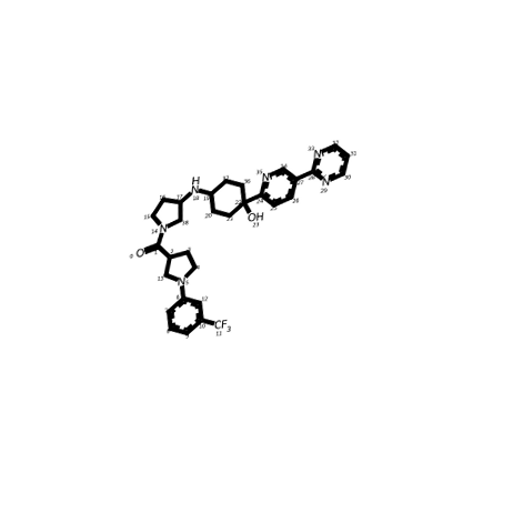 O=C(C1CCN(c2cccc(C(F)(F)F)c2)C1)N1CCC(NC2CCC(O)(c3ccc(-c4ncccn4)cn3)CC2)C1